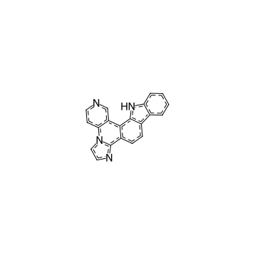 c1ccc2c(c1)[nH]c1c2ccc2c1c1cnccc1n1ccnc21